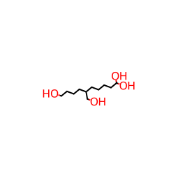 OCCCCC(CO)CCCCC(O)O